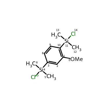 COc1cc([Si](C)(C)Cl)ccc1[Si](C)(C)Cl